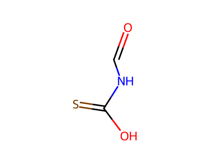 O=CNC(O)=S